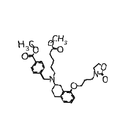 COC(=O)CCCCN(Cc1ccc(C(=O)OC)cc1)C1CCc2cccc(OCCCN3CCOC3=O)c2C1